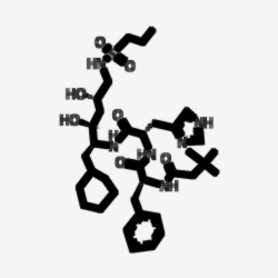 CCCS(=O)(=O)NC[C@@H](O)C[C@H](O)[C@H](CC1CCCCC1)NC(=O)[C@H](Cc1c[nH]cn1)NC(=O)[C@H](Cc1ccccc1)NC(=O)CC(C)(C)C